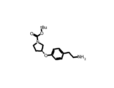 CC(C)(C)OC(=O)N1CC[C@H](Oc2ccc(CCN)cc2)C1